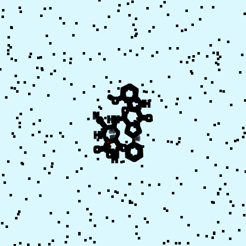 COc1cccc2[nH]c(C(=O)N3C[C@H](c4ccccc4)CC3C(=O)N[C@@H](C[C@@H]3CCNC3=O)C(C#N)NCC(=O)O)cc12